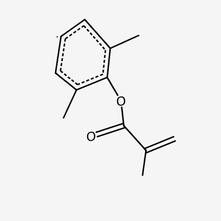 C=C(C)C(=O)Oc1c(C)c[c]cc1C